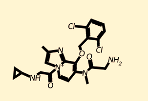 CC1=C[N+]2(C(=O)CNC3CC3)C=CC(N(C)C(=O)CN)=C(OCc3c(Cl)cccc3Cl)C2=N1